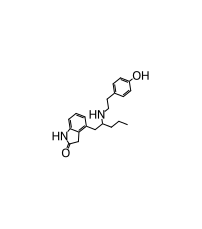 CCCC(Cc1cccc2c1CC(=O)N2)NCCc1ccc(O)cc1